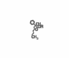 CCCCCCC(C)(C(=O)O)c1ccccc1